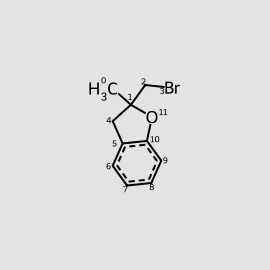 CC1(CBr)Cc2ccccc2O1